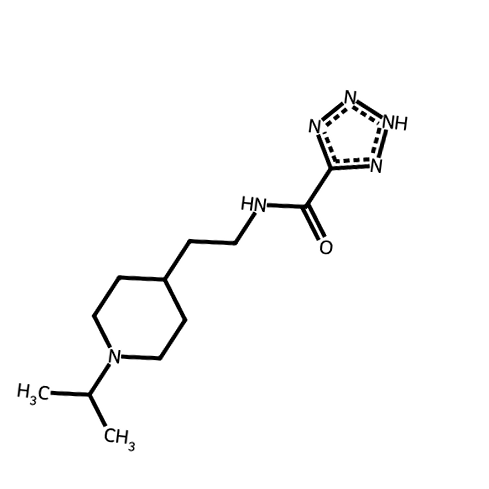 CC(C)N1CCC(CCNC(=O)c2nn[nH]n2)CC1